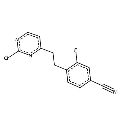 N#Cc1ccc(CCc2ccnc(Cl)n2)c(F)c1